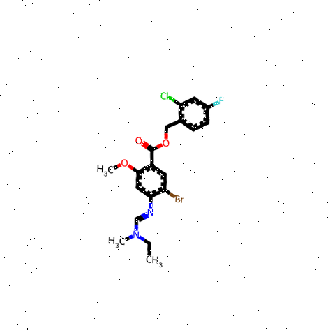 CCN(C)/C=N/c1cc(OC)c(C(=O)OCc2ccc(F)cc2Cl)cc1Br